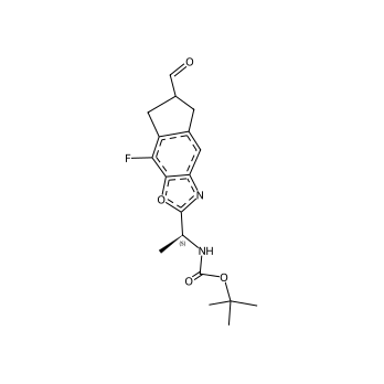 C[C@H](NC(=O)OC(C)(C)C)c1nc2cc3c(c(F)c2o1)CC(C=O)C3